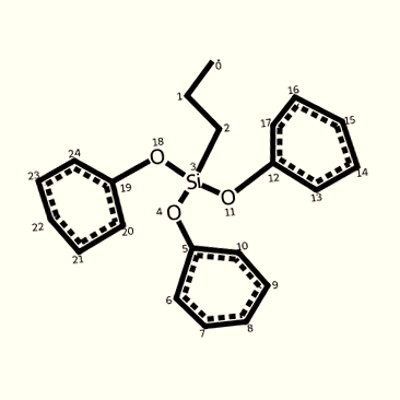 [CH2]CC[Si](Oc1ccccc1)(Oc1ccccc1)Oc1ccccc1